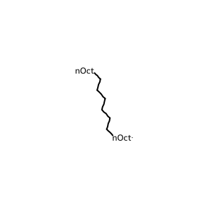 [CH2]CCCCCC[CH]CCCCCCCCCCCCCC